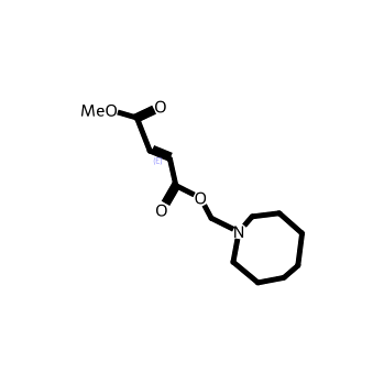 COC(=O)/C=C/C(=O)OCN1CCCCCCC1